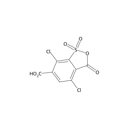 O=C(O)c1cc(Cl)c2c(c1Cl)S(=O)(=O)OC2=O